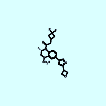 C[C@H]1CN(C(=O)O)c2cc(-c3cnn(C4COC4)c3)ccc2N1C(=O)CC1CC(F)(F)C1